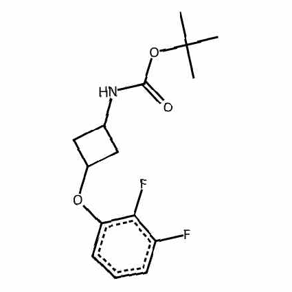 CC(C)(C)OC(=O)NC1CC(Oc2cccc(F)c2F)C1